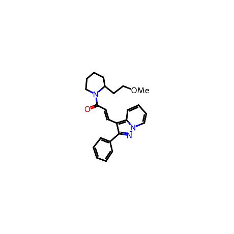 COCCC1CCCCN1C(=O)/C=C/c1c(-c2ccccc2)nn2ccccc12